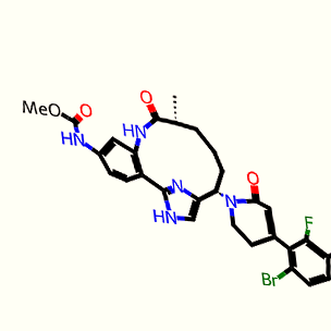 COC(=O)Nc1ccc2c(c1)NC(=O)[C@H](C)CCC[C@H](N1CCC(c3c(Br)ccc(Cl)c3F)=CC1=O)c1c[nH]c-2n1